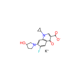 O=C([O-])c1cn(C2CC2)c2cc(N3CCC(O)C3)c(F)cc2c1=O.[K+]